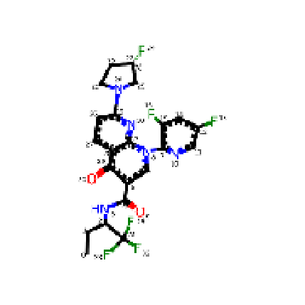 CCC(NC(=O)c1cn(-c2ncc(F)cc2F)c2nc(N3CC[C@H](F)C3)ccc2c1=O)C(F)(F)F